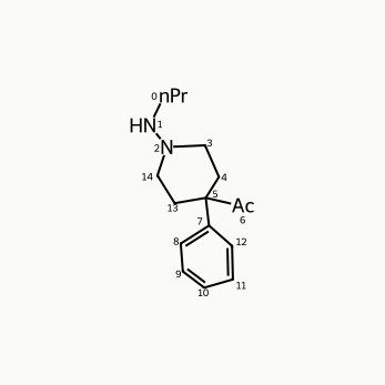 CCCNN1CCC(C(C)=O)(c2ccccc2)CC1